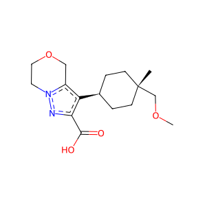 COC[C@]1(C)CC[C@@H](c2c(C(=O)O)nn3c2COCC3)CC1